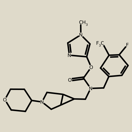 Cn1cnc(OC(=O)N(Cc2ccc(F)c(C(F)(F)F)c2)CC2C3CN(C4CCOCC4)CC23)c1